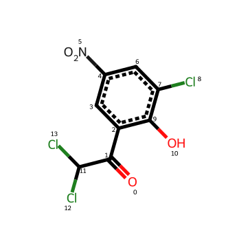 O=C(c1cc([N+](=O)[O-])cc(Cl)c1O)C(Cl)Cl